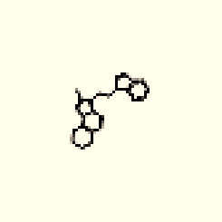 CC1=CC2C(=C1CCC1C=Cc3ccccc31)C=CC1=C2CCCC1